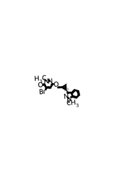 Cn1nc(OCC2C[C@H]2c2nn(C)c3ccccc23)cc(Br)c1=O